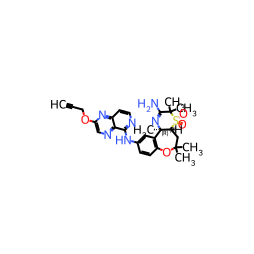 C#CCOc1cnc2c(Nc3ccc4c(c3)[C@@]3(C)N=C(N)C(C)(C)S(=O)(=O)[C@@H]3CC(C)(C)O4)nccc2n1